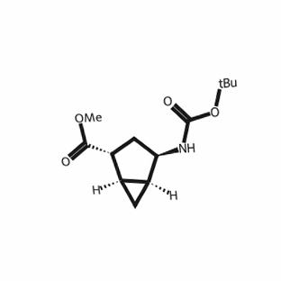 COC(=O)[C@@H]1C[C@@H](NC(=O)OC(C)(C)C)[C@H]2C[C@H]21